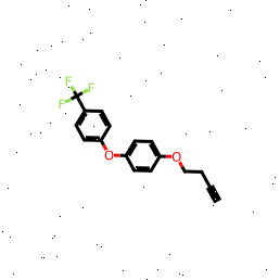 C#CCCOc1ccc(Oc2ccc(C(F)(F)F)cc2)cc1